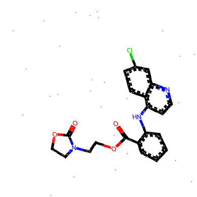 O=C(OCCN1CCOC1=O)c1ccccc1Nc1ccnc2cc(Cl)ccc12